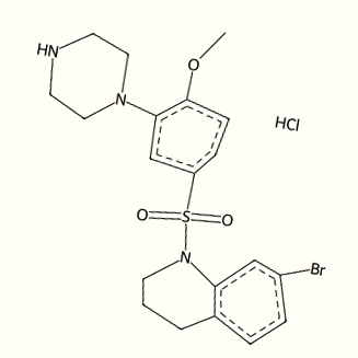 COc1ccc(S(=O)(=O)N2CCCc3ccc(Br)cc32)cc1N1CCNCC1.Cl